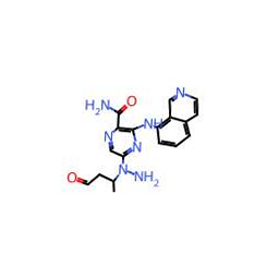 CC(CC=O)N(N)c1cnc(C(N)=O)c(Nc2cccc3ccncc23)n1